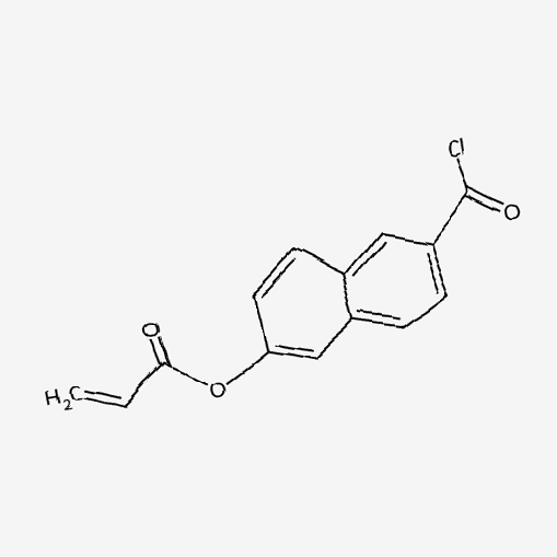 C=CC(=O)Oc1ccc2cc(C(=O)Cl)ccc2c1